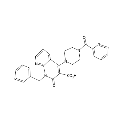 O=C(O)c1c(N2CCN(C(=O)c3ccccn3)CC2)c2cccnc2n(Cc2ccccc2)c1=O